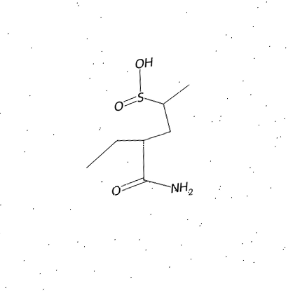 CCC(CC(C)S(=O)O)C(N)=O